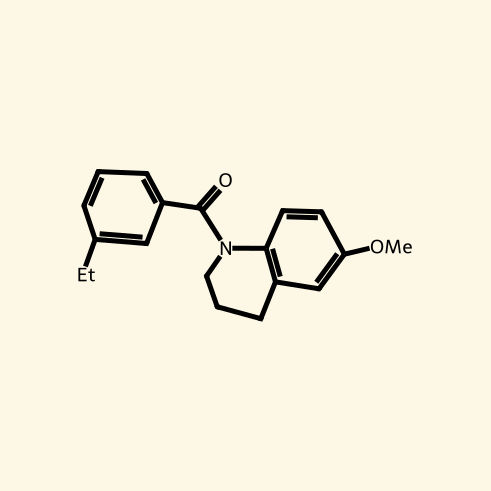 CCc1cccc(C(=O)N2CCCc3cc(OC)ccc32)c1